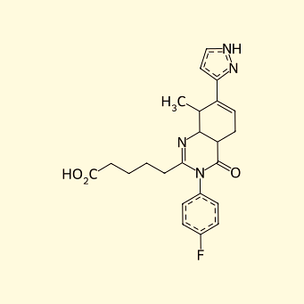 CC1C(c2cc[nH]n2)=CCC2C(=O)N(c3ccc(F)cc3)C(CCCCC(=O)O)=NC12